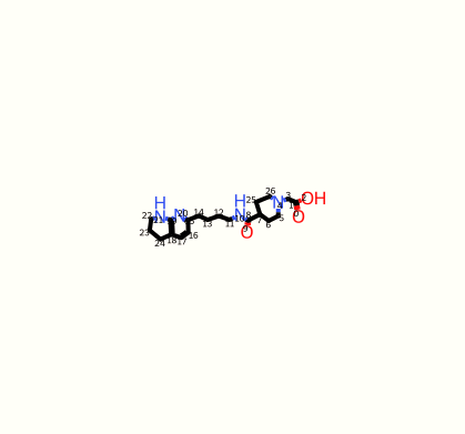 O=C(O)CN1CCC(C(=O)NCCCCc2ccc3c(n2)NCCC3)CC1